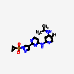 [2H]c1cnc(Nc2ccnc(-c3cnn(S(=O)(=O)C4CC4)c3)n2)cc1NC(C)C